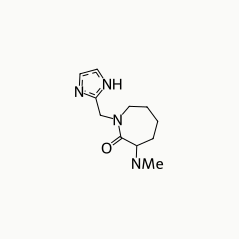 CNC1CCCCN(Cc2ncc[nH]2)C1=O